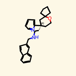 c1ccc([C@]2(CCNCc3ccc4ccccc4c3)CCOC3(CCCC3)C2)nc1